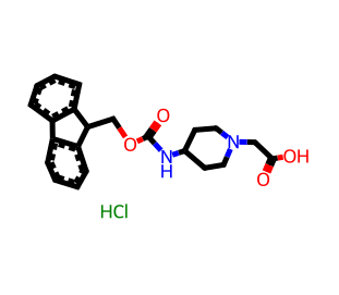 Cl.O=C(O)CN1CCC(NC(=O)OCC2c3ccccc3-c3ccccc32)CC1